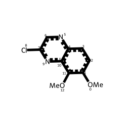 COc1ccc2ncc(Cl)nc2c1OC